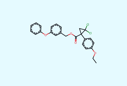 CCOc1ccc(C2(C(=O)OCc3cccc(Oc4ccccc4)c3)CC2(Cl)Cl)cc1